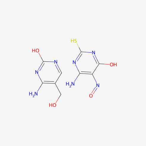 Nc1nc(O)ncc1CO.Nc1nc(S)nc(O)c1N=O